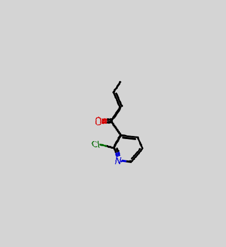 C/C=C/C(=O)c1cccnc1Cl